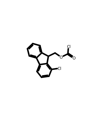 O=C(Cl)OCC1c2ccccc2-c2cccc(Cl)c21